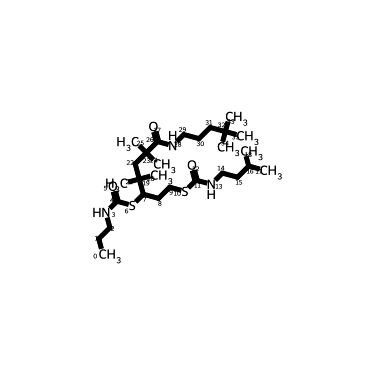 CCCNC(=O)SC(CCSC(=O)NCCC(C)C)C(C)(C)CC(C)(C)C(=O)NCCCC(C)(C)C